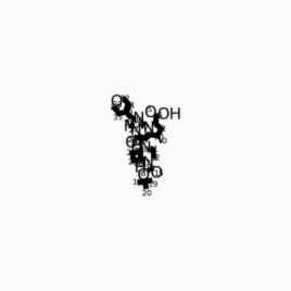 C[C@@H]1CC(C(=O)O)n2c1c(N1CCN(C(=O)OC(C)(C)C)[C@H]3CC[C@@H]31)c(=O)n1nc(C3=CCOCC3)nc21